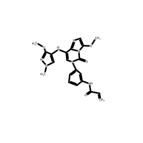 C=CC(=O)Nc1cccc(-n2cc(Nc3cn(C)nc3OC)c3ncc(OC)n3c2=O)c1